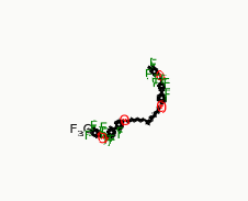 Cc1c(F)cc(OC(F)(F)c2c(F)cc(-c3ccc(OCCCCCCC(C)CCCCCCOc4ccc(-c5cc(F)c(C(F)(F)Oc6cc(F)c(C(F)(F)F)c(F)c6)c(F)c5)c(F)c4)cc3F)cc2F)cc1F